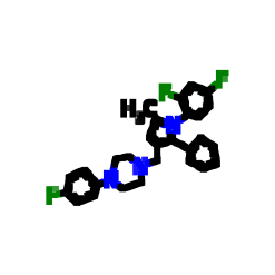 Cc1cc(CN2CCN(c3ccc(F)cc3)CC2)c(-c2ccccc2)n1-c1ccc(F)cc1F